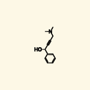 CN(C)CC#CC(O)c1ccccc1